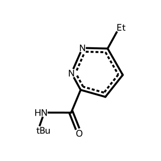 CCc1ccc(C(=O)NC(C)(C)C)nn1